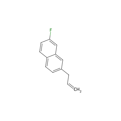 C=CCc1ccc2ccc(F)cc2c1